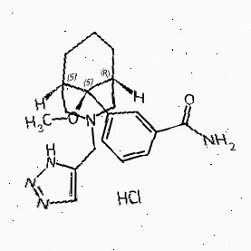 CO[C@]1(c2cccc(C(N)=O)c2)[C@@H]2CCC[C@H]1CN(Cc1cnn[nH]1)C2.Cl